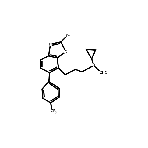 CCc1nc2ccc(-c3ccc(C(F)(F)F)cc3)c(CCCN(C=O)C3CC3)c2o1